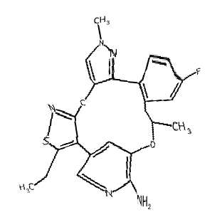 CCc1snc2c1-c1cnc(N)c(c1)OC(C)c1cc(F)ccc1-c1nn(C)cc1C2